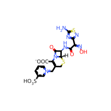 Nc1nc(/C(=N/O)C(=O)N[C@@H]2C(=O)N3C(C(=O)[O-])=C(C[n+]4cccc(S(=O)(=O)O)c4)CS[C@@H]23)ns1